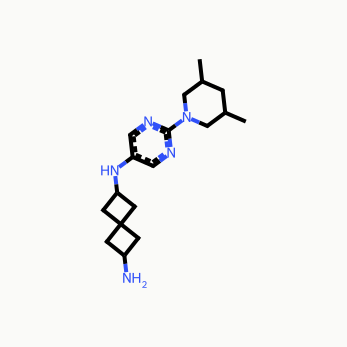 CC1CC(C)CN(c2ncc(NC3CC4(CC(N)C4)C3)cn2)C1